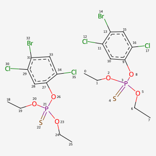 CCOP(=S)(OCC)Oc1cc(Cl)c(Br)cc1Cl.CCOP(=S)(OCC)Oc1cc(Cl)c(Br)cc1Cl